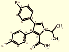 CC(C)n1cc(-c2ccc(F)cc2)c(-c2ccc(F)cc2)c1C(=O)O